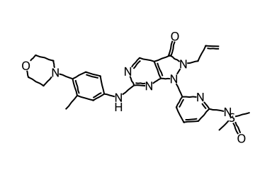 C=CCn1c(=O)c2cnc(Nc3ccc(N4CCOCC4)c(C)c3)nc2n1-c1cccc(N=S(C)(C)=O)n1